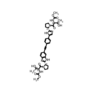 COC(=O)N[C@H](C(=O)N1CCC[C@H]1c1ncc(-c2ccc(C#Cc3ccc4nc([C@@H]5CCCN5C(=O)[C@@H](NC(=O)OC)[C@@H](C)O)[nH]c4c3)cc2)[nH]1)[C@@H](C)O